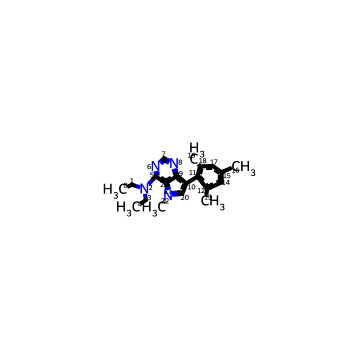 CCN(CC)c1ncnc2c(-c3c(C)cc(C)cc3C)cn(C)c12